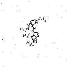 Cc1cc(C)c2c(/N=N/c3c(N)nn4ccc(C)nc34)csc2n1